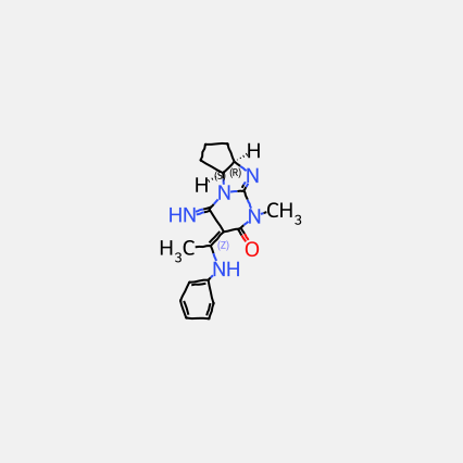 C/C(Nc1ccccc1)=c1/c(=O)n(C)c2n(c1=N)[C@H]1CCC[C@H]1N=2